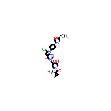 CC[C@H]1CN[C@H](c2ccc(-n3c(Cl)cc4c(=O)n(CC5(O)CCN(C(=O)C6(C)CC6)CC5)cnc43)cc2)CO1